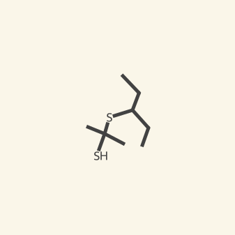 CCC(CC)SC(C)(C)S